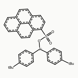 CC(C)(C)c1ccc([I+](OS(=O)(=O)c2ccc3ccc4cccc5ccc2c3c45)c2ccc(C(C)(C)C)cc2)cc1